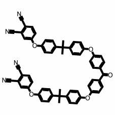 CC(C)(c1ccc(Oc2ccc(C(=O)c3ccc(Oc4ccc(C(C)(C)c5ccc(Oc6ccc(C#N)c(C#N)c6)cc5)cc4)cc3)cc2)cc1)c1ccc(Oc2ccc(C#N)c(C#N)c2)cc1